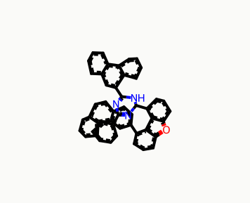 c1ccc(C2=NC(c3cccc4oc5cccc(-c6ccc7ccc8ccccc8c7c6)c5c34)NC(c3cc4ccccc4c4ccccc34)=N2)cc1